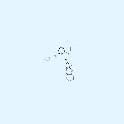 CN(C)CC[C@@H](NC(=O)c1nc2cc3c(nc2s1)CC[C@H](C(C)(C)C)C3)c1cccc(C(=O)NC2CN(C)C2)c1